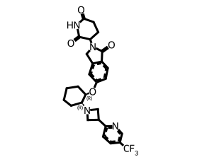 O=C1CCC(N2Cc3cc(O[C@@H]4CCCC[C@H]4N4CC(c5ccc(C(F)(F)F)cn5)C4)ccc3C2=O)C(=O)N1